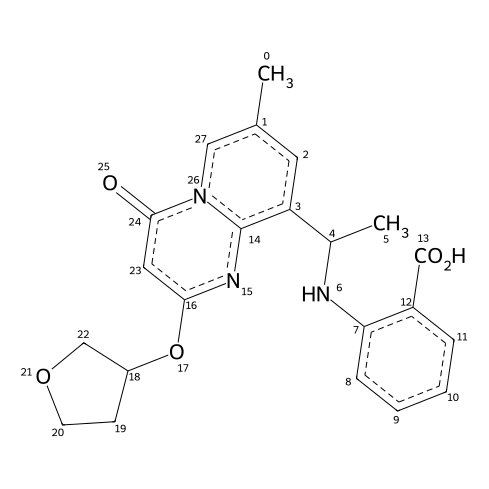 Cc1cc(C(C)Nc2ccccc2C(=O)O)c2nc(OC3CCOC3)cc(=O)n2c1